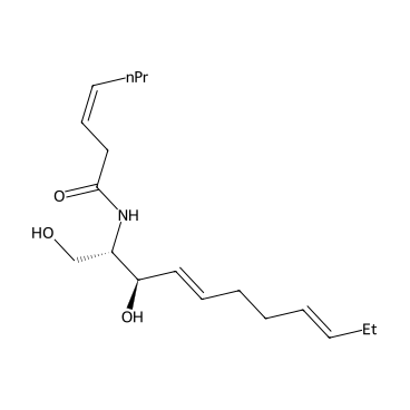 CC/C=C/CC/C=C/[C@@H](O)[C@H](CO)NC(=O)C/C=C\CCC